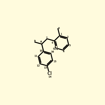 Cc1cccnc1CC(C)c1ccc(Cl)cc1